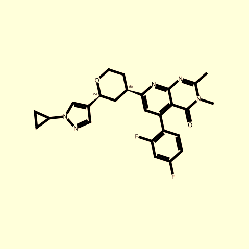 Cc1nc2nc([C@@H]3CCO[C@H](c4cnn(C5CC5)c4)C3)cc(-c3ccc(F)cc3F)c2c(=O)n1C